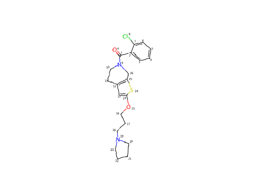 O=C(c1ccccc1Cl)N1CCc2cc(OCCCN3CCCC3)sc2C1